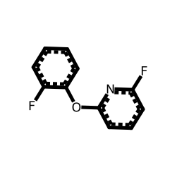 Fc1cccc(Oc2ccccc2F)n1